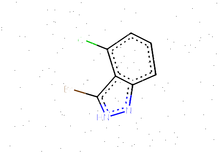 Clc1cccc2n[nH]c(Br)c12